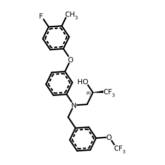 Cc1cc(Oc2cccc(N(Cc3cccc(OC(F)(F)F)c3)C[C@@H](O)C(F)(F)F)c2)ccc1F